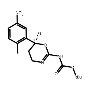 CC[C@@]1(c2cc([N+](=O)[O-])ccc2F)CCN=C(NC(=O)OC(C)(C)C)O1